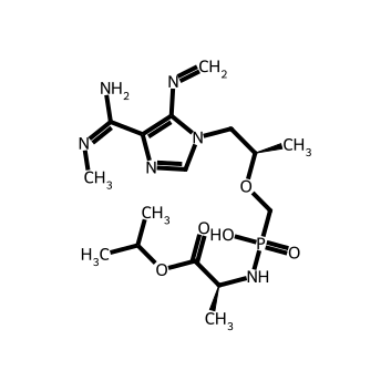 C=Nc1c(/C(N)=N\C)ncn1C[C@@H](C)OCP(=O)(O)N[C@@H](C)C(=O)OC(C)C